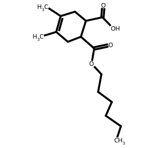 CCCCCCOC(=O)C1CC(C)=C(C)CC1C(=O)O